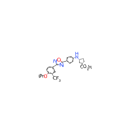 CC(C)Oc1ccc(-c2noc(-c3ccc(N[C@H]4CC[C@@H](C(=O)O)C4)cc3)n2)cc1C(F)(F)F